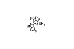 N#CC1(c2nc(-c3n[nH]c4ncc(F)cc34)nc(N)c2F)CC1